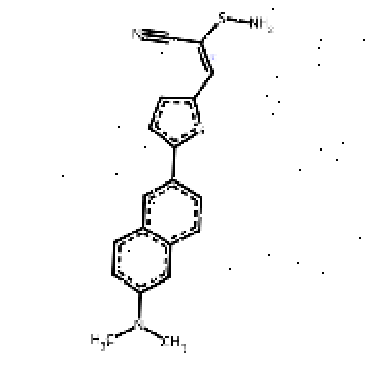 CN(C)c1ccc2cc(-c3ccc(/C=C(\C#N)SN)s3)ccc2c1